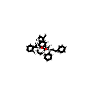 COc1ccccc1C(=O)N1CCN(c2ccccc2N(CCc2ccccc2)S(=O)(=O)c2ccc3occ(C)c3c2)CC1